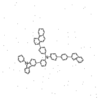 c1ccc(-n2c3ccccc3c3cc(-c4cccc(N(c5ccc(-c6ccc(-c7ccc8ccccc8c7)cc6)cc5)c5ccc(-c6cccc7c6ccc6ccccc67)cc5)c4)ccc32)cc1